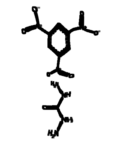 NNC(=O)NN.O=[N+]([O-])c1cc([N+](=O)[O-])cc([N+](=O)[O-])c1